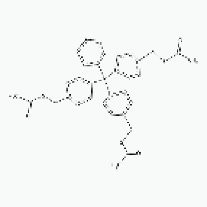 CC(=O)SCc1ccc(C(c2cc[c]cc2)(c2ccc(CSC(C)=O)cc2)c2ccc(CSC(C)=O)cc2)cc1